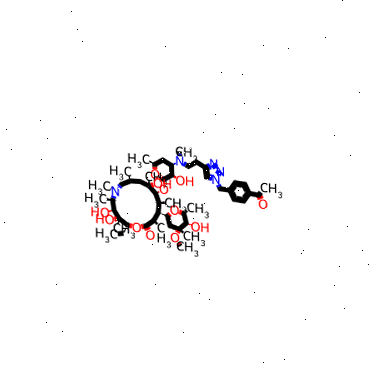 CC[C@H]1OC(=O)[C@H](C)[C@@H](C2C[C@@](C)(OC)[C@@H](O)[C@H](C)O2)[C@H](C)[C@@H](O[C@@H]2O[C@H](C)C[C@H](N(C)CCc3cn(Cc4ccc(C(C)=O)cc4)nn3)[C@H]2O)[C@](C)(O)C[C@@H](C)CN(C)[C@H](C)[C@@H](O)[C@]1(C)O